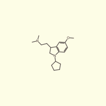 COc1ccc2c(c1)C(CCN(C)C)CN2C1CCCC1